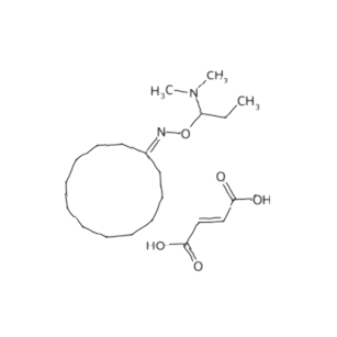 CCC(ON=C1CCCCCCCCCCC1)N(C)C.O=C(O)/C=C/C(=O)O